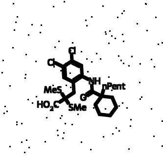 CCCCCC1(C(=O)Nc2cc(Cl)c(Cl)cc2CC(SC)(SC)C(=O)O)CCCCC1